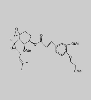 COCCOc1ccc(/C=C/C(=O)O[C@@H]2CCC3(CO3)C([C@]3(C)O[C@H]3CC=C(C)C)[C@@H]2OC)cc1OC